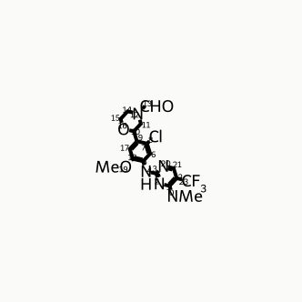 CNc1nc(Nc2cc(Cl)c(C3CN(C=O)CCO3)cc2OC)ncc1C(F)(F)F